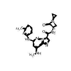 CNc1cc(Nc2cccc(C)n2)nn2c(C(=O)N[C@@H]3CN(C4CC4)C3=O)cnc12